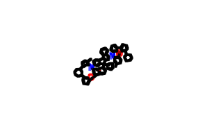 Cc1ccc(C)c(N(c2cc3c(c4ccccc24)-c2ccc(N4c5cc(ccc5C)C5CCCCC(C5)c5cccc6c5oc5c4cccc56)cc2C3(c2ccccc2)c2ccccc2)c2cccc3c2oc2c(C4CCCCC4)cccc23)c1